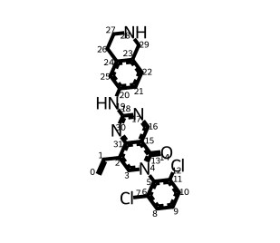 C=Cc1cn(-c2c(Cl)cccc2Cl)c(=O)c2cnc(Nc3ccc4c(c3)CCNC4)nc12